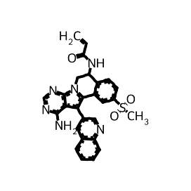 C=CC(=O)NC1Cn2c(c(-c3cnc4ccccc4c3)c3c(N)ncnc32)-c2cc(S(C)(=O)=O)ccc21